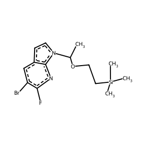 CC(OCC[Si](C)(C)C)n1ccc2cc(Br)c(F)nc21